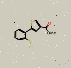 COC(=O)c1csc(-c2ccccc2SS)c1